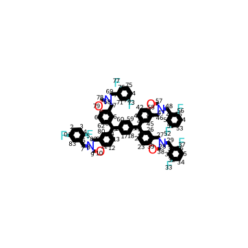 Fc1ccc(F)c(CN2COc3ccc(C(c4ccc(C(c5ccc6c(c5)CN(Cc5cc(F)ccc5F)CO6)c5ccc6c(c5)CN(Cc5cc(F)ccc5F)CO6)cc4)c4ccc5c(c4)CN(Cc4cc(F)ccc4F)CO5)cc3C2)c1